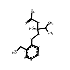 CC(C)[C@](O)(CCc1ccccc1CO)CC(=O)O